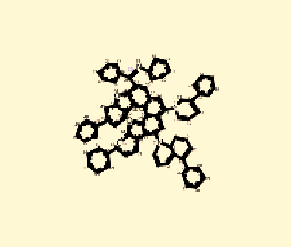 C1=CC2C(=CC=CN2c2cc3c(N4C=CC=C(c5ccccc5)C4)cc4cc(/C(=N\c5ccccc5)c5ccccc5)c5oc6cc(-c7ccccc7)ccc6c5c4c3c3oc4cc(-c5ccccc5)ccc4c23)C(c2ccccc2)=C1